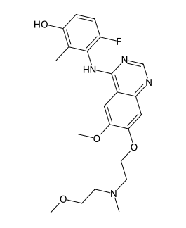 COCCN(C)CCOc1cc2ncnc(Nc3c(F)ccc(O)c3C)c2cc1OC